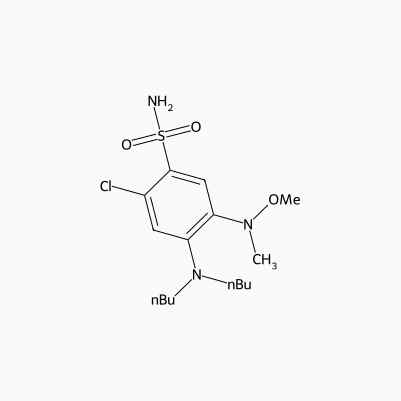 CCCCN(CCCC)c1cc(Cl)c(S(N)(=O)=O)cc1N(C)OC